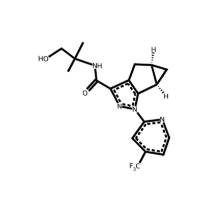 CC(C)(CO)NC(=O)c1nn(-c2cc(C(F)(F)F)ccn2)c2c1C[C@H]1C[C@@H]21